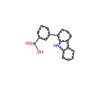 OB(O)c1cccc(-c2cccc3c2[nH]c2ccccc23)c1